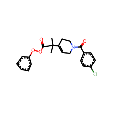 CC(C)(C(=O)OOc1ccccc1)C1=CCN(C(=O)c2ccc(Cl)cc2)CC1